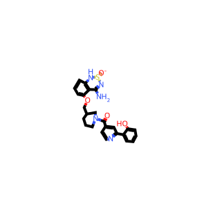 NC1=N[S+]([O-])Nc2cccc(OCC3CCCN(C(=O)c4ccnc(-c5ccccc5O)c4)C3)c21